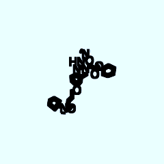 CN(C)C(=O)NC1=Nc2ccc(OCCCC(=O)N(C)C3CCCCC3)cc2CN1CC(=O)OC1CCCCC1